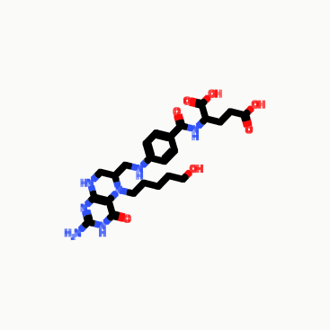 Nc1nc2c(c(=O)[nH]1)N(CCCCCO)C(CNc1ccc(C(=O)NC(CCC(=O)O)C(=O)O)cc1)CN2